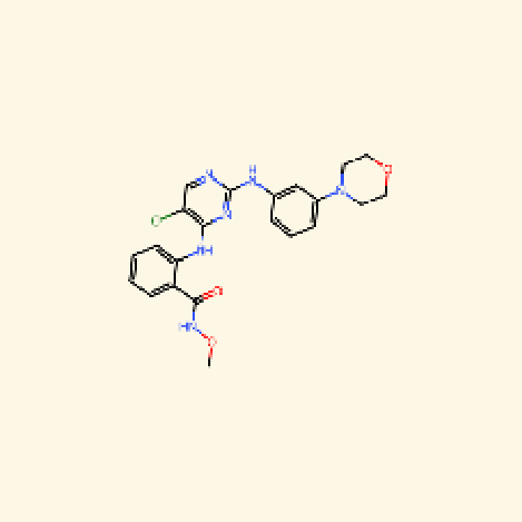 CONC(=O)c1ccccc1Nc1nc(Nc2cccc(N3CCOCC3)c2)ncc1Cl